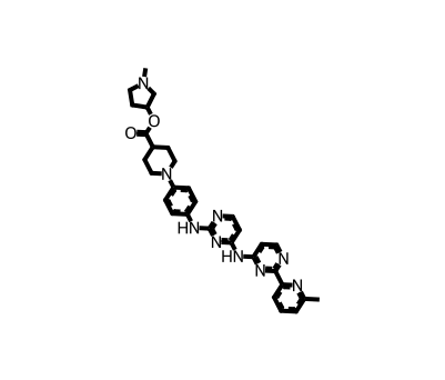 Cc1cccc(-c2nccc(Nc3ccnc(Nc4ccc(N5CCC(C(=O)OC6CCN(C)C6)CC5)cc4)n3)n2)n1